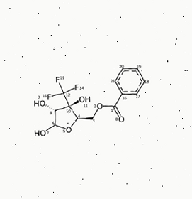 O=C(OC[C@H]1OC(O)[C@H](O)[C@]1(O)C(F)(F)F)c1ccccc1